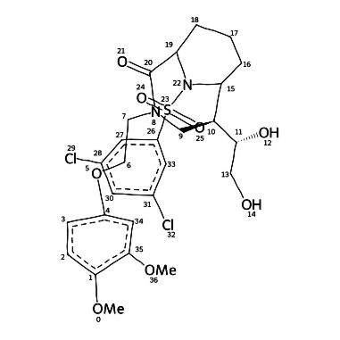 COc1ccc(OCCN2C[C@H]([C@H](O)CO)C3CCCC(C2=O)N3S(=O)(=O)c2cc(Cl)cc(Cl)c2)cc1OC